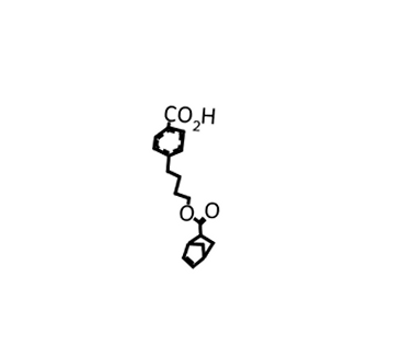 O=C(O)c1ccc(CCCCOC(=O)C2CC3C=CC2C3)cc1